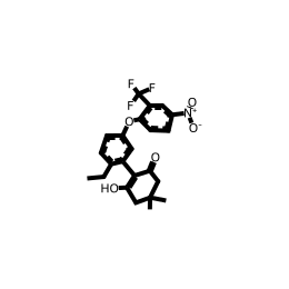 CCc1ccc(Oc2ccc([N+](=O)[O-])cc2C(F)(F)F)cc1C1=C(O)CC(C)(C)CC1=O